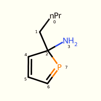 CCCCC1(N)C=CC=P1